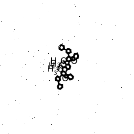 CC1(C)c2cc(-c3cccc(-c4ccccc4)c3)c3c(oc4ccccc43)c2-c2ccc3c(c21)C(C)(C)c1cc(-c2cccc(-c4ccccc4)c2)c2oc4ccccc4c2c1-3